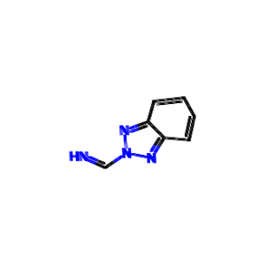 N=Cn1nc2ccccc2n1